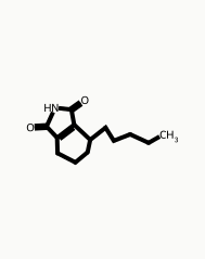 CCCCCC1CCCC2=C1C(=O)NC2=O